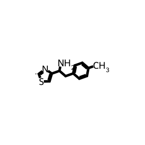 Cc1ccc(CC(N)c2cs[c]n2)cc1